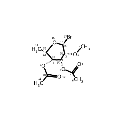 CO[C@@H]1[C@H](OC(C)=O)[C@H](OC(C)=O)[C@H](C)O[C@H]1Br